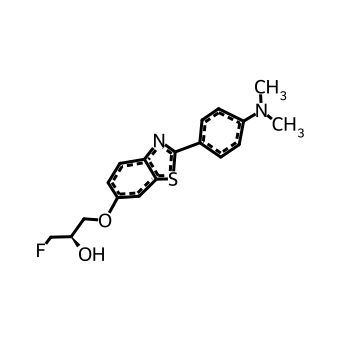 CN(C)c1ccc(-c2nc3ccc(OC[C@@H](O)CF)cc3s2)cc1